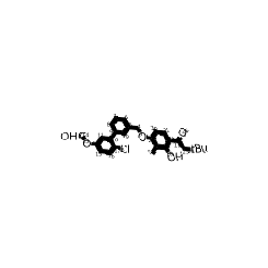 Cc1c(OCc2cccc(-c3cc(OC=O)ccc3Cl)c2)ccc(C(=O)CC(C)(C)C)c1O